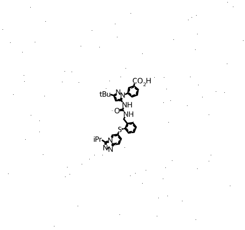 CC(C)c1nnc2ccc(Sc3ccccc3CNC(=O)Nc3cc(C(C)(C)C)nn3-c3cccc(C(=O)O)c3)cn12